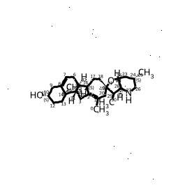 CC1=C2C[C@H]3[C@@H](CC=C4C[C@@H](O)CC[C@@]43C)[C@@H]2CC[C@@]2(C1)O[C@@H]1C[C@H](C)CN[C@H]1C2C